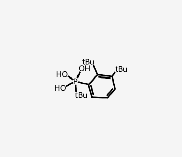 CC(C)(C)c1cccc(P(O)(O)(O)C(C)(C)C)c1C(C)(C)C